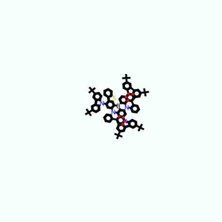 CC(C)(C)c1ccc2c(c1)-c1cc(C(C)(C)C)ccc1C2c1ccc2c(c1)N(c1ccccc1-c1ccccc1)c1cc(-n3c4ccc(C(C)(C)C)cc4c4cc(C(C)(C)C)ccc43)cc3c1B2c1c(cc(-n2c4ccc(C(C)(C)C)cc4c4cc(C(C)(C)C)ccc42)c2c1sc1ccccc12)N3c1ccccc1-c1ccccc1